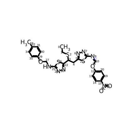 CCSC(Cc1nnc(/N=C\Oc2ccc([N+](=O)[O-])cc2)s1)c1nnc(NCOc2ccc(C)cc2)s1